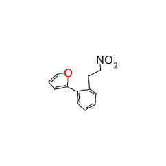 O=[N+]([O-])CCc1ccccc1-c1ccco1